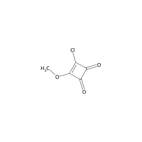 COc1c(Cl)c(=O)c1=O